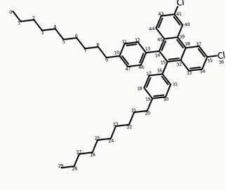 CCCCCCCCCCc1ccc(-c2c(-c3ccc(CCCCCCCCCC)cc3)c3ccc(Cl)cc3c3cc(Cl)ccc23)cc1